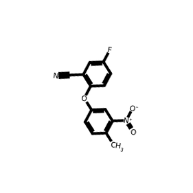 Cc1ccc(Oc2ccc(F)cc2C#N)cc1[N+](=O)[O-]